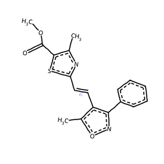 COC(=O)c1sc(/C=C/c2c(-c3ccccc3)noc2C)nc1C